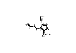 C=CCCC1=[C]([Zr+2])CC=C1.[F-].[F-]